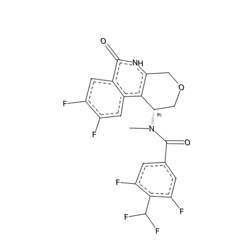 CN(C(=O)c1cc(F)c(C(F)F)c(F)c1)[C@H]1COCc2[nH]c(=O)c3cc(F)c(F)cc3c21